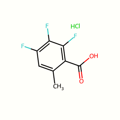 Cc1cc(F)c(F)c(F)c1C(=O)O.Cl